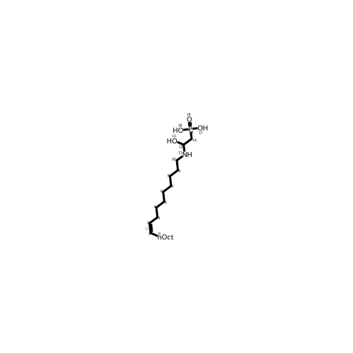 CCCCCCCC/C=C\CCCCCCCCNC(O)CP(=O)(O)O